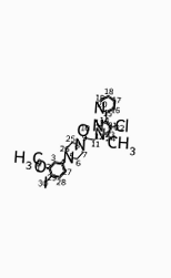 COc1cc(N2CCN(C(=O)Cn3nc(-c4ccccn4)c(Cl)c3C)CC2)ccc1I